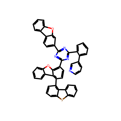 c1cncc(-c2ccccc2-c2nc(-c3ccc4c(c3)oc3ccccc34)nc(-c3ccc(-c4cccc5sc6ccccc6c45)c4c3oc3ccccc34)n2)c1